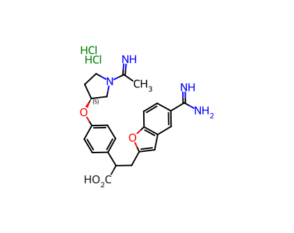 CC(=N)N1CC[C@H](Oc2ccc(C(Cc3cc4cc(C(=N)N)ccc4o3)C(=O)O)cc2)C1.Cl.Cl